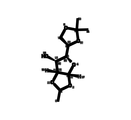 CC1O[C@H]2O[C@@H]([C@H]3COC(C)(C)O3)[C@@H](O)[C@H]2O1